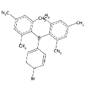 Cc1cc(C)c(B(C2=CC[C](Br)C=C2)c2c(C)cc(C)cc2C)c(C)c1